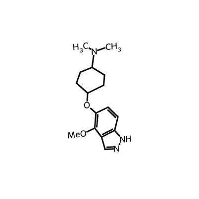 COc1c(OC2CCC(N(C)C)CC2)ccc2[nH]ncc12